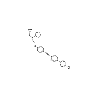 Clc1ccc(-c2ccc(C#Cc3ccc(OCCN(CC4CC4)C4CCCC4)cc3)nc2)cc1